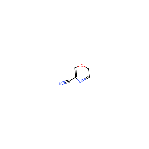 N#CC1=COCC=N1